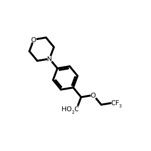 O=C(O)C(OCC(F)(F)F)c1ccc(N2CCOCC2)cc1